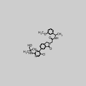 COc1cccc(C(C)NC(=O)CN2Cc3ccc(-c4nc(NC(C)(C)CO)ncc4Cl)cc3C2=O)c1